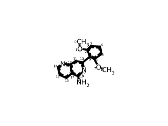 COc1cccc(OC)c1-c1cc2ncccc2c(N)n1